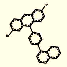 Brc1ccc2c(-c3ccc(-c4cccc5ccccc45)cc3)c3cc(Br)ccc3cc2c1